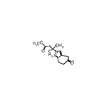 COC(=O)CC(C)(C)n1cc2c(n1)CCC(=O)C2